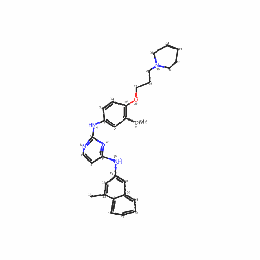 COc1cc(Nc2nccc(Nc3cc(C)c4ccccc4c3)n2)ccc1OCCCN1CCCCC1